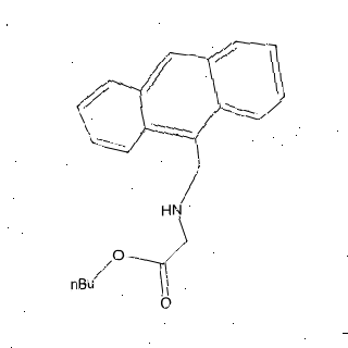 CCCCOC(=O)CNCc1c2ccccc2cc2ccccc12